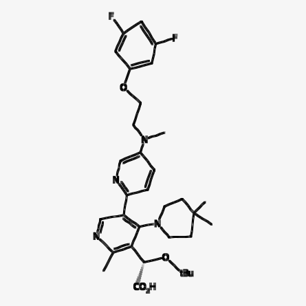 Cc1ncc(-c2ccc(N(C)CCOc3cc(F)cc(F)c3)cn2)c(N2CCC(C)(C)CC2)c1[C@H](OC(C)(C)C)C(=O)O